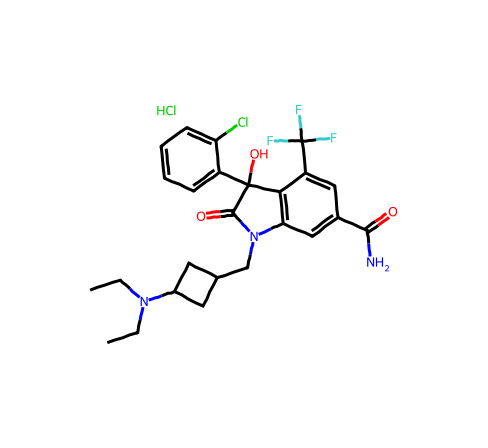 CCN(CC)C1CC(CN2C(=O)C(O)(c3ccccc3Cl)c3c2cc(C(N)=O)cc3C(F)(F)F)C1.Cl